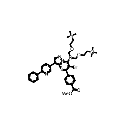 COC(=O)c1ccc(-c2nc3c(-c4ccc(-c5ccccc5)nc4)cnn3c(N(COCC[Si](C)(C)C)COCC[Si](C)(C)C)c2Br)cc1